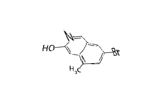 Cc1cc(Br)cc2cnc(O)cc12